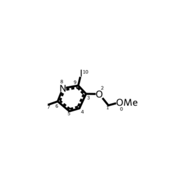 COCOc1ccc(C)nc1I